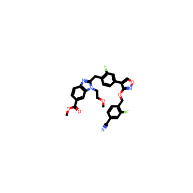 COCCn1c(Cc2ccc(-c3conc3OCc3ccc(C#N)cc3F)cc2F)nc2ccc(C(=O)OC)cc21